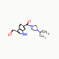 CC(C)N1CCN(C(=O)c2ccc3c(C=O)c[nH]c3c2)CC1